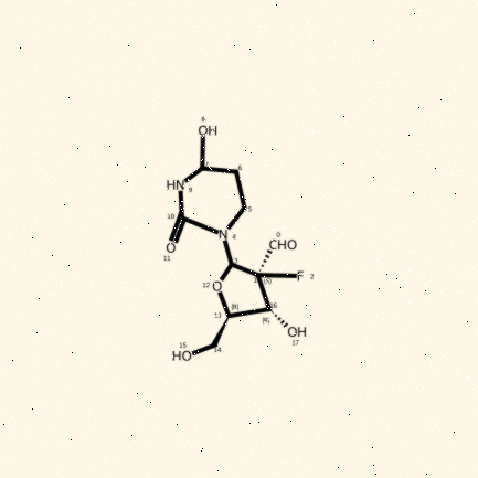 O=C[C@@]1(F)C(N2CCC(O)NC2=O)O[C@H](CO)[C@H]1O